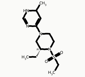 CC[C@@H]1CN(C2=CC(C)NC=N2)CCN1S(=O)(=O)CC